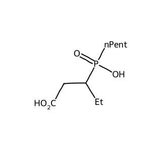 CCCCCP(=O)(O)C(CC)CC(=O)O